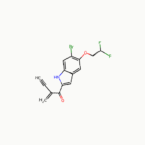 C#CC(=C)C(=O)c1cc2cc(OCC(F)F)c(Br)cc2[nH]1